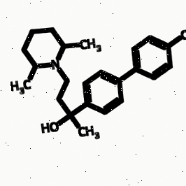 CC1CCCC(C)N1CCC(C)(O)c1ccc(-c2ccc(Cl)cc2)cc1